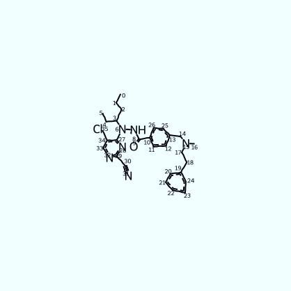 CCCC(CC)N(NC(=O)c1ccc(CN(C)CCc2ccccc2)cc1)c1nc(C#N)ncc1Cl